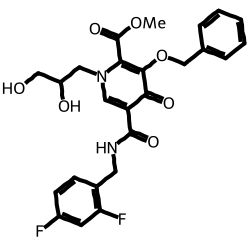 COC(=O)c1c(OCc2ccccc2)c(=O)c(C(=O)NCc2ccc(F)cc2F)cn1CC(O)CO